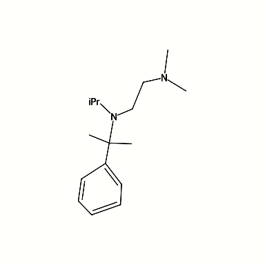 CC(C)N(CCN(C)C)C(C)(C)c1ccccc1